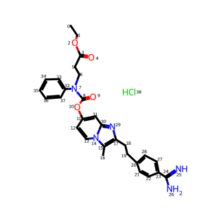 CCOC(=O)CCN(C(=O)Oc1ccn2c(C)c(CCc3ccc(C(=N)N)cc3)nc2c1)c1ccccc1.Cl